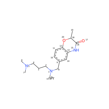 CCCN(CCCN(C)C)Cc1ccc2c(c1)NC(=O)C(C)O2